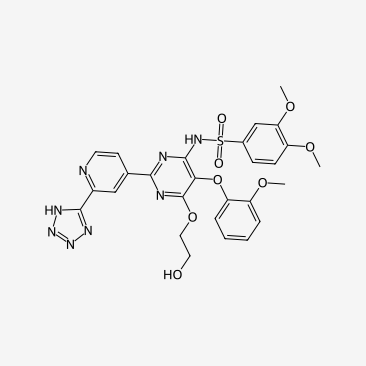 COc1ccc(S(=O)(=O)Nc2nc(-c3ccnc(-c4nnn[nH]4)c3)nc(OCCO)c2Oc2ccccc2OC)cc1OC